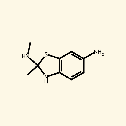 CNC1(C)Nc2ccc(N)cc2S1